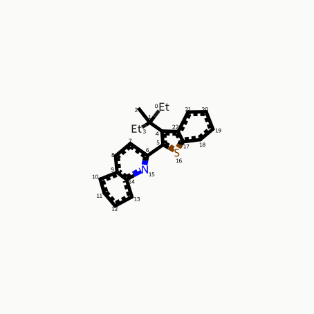 CCC(C)(CC)c1c(-c2ccc3ccccc3n2)sc2ccccc12